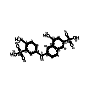 Nc1ccc(Nc2ccc3cc(S(=O)(=O)O)cc(O)c3c2)cc1S(=O)(=O)O